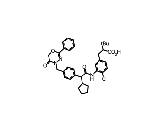 CC(C)(C)C(Cc1ccc(Cl)c(NC(=O)C(c2ccc(CN3N=C(c4ccccc4)OCC3=O)cc2)C2CCCC2)c1)C(=O)O